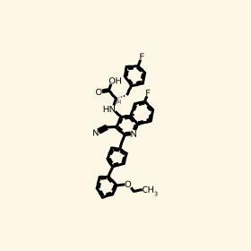 CCOc1ccccc1-c1ccc(-c2nc3ccc(F)cc3c(N[C@@H](Cc3ccc(F)cc3)C(=O)O)c2C#N)cc1